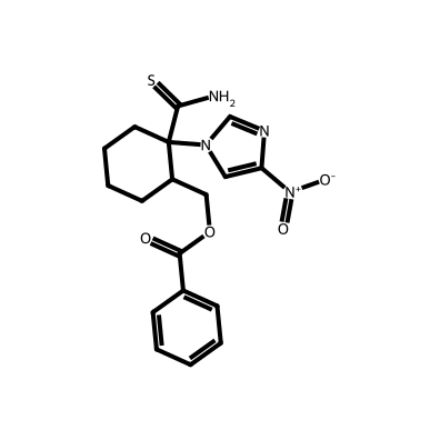 NC(=S)C1(n2cnc([N+](=O)[O-])c2)CCCCC1COC(=O)c1ccccc1